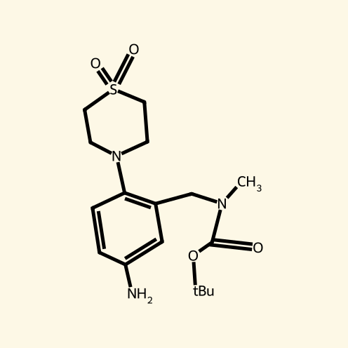 CN(Cc1cc(N)ccc1N1CCS(=O)(=O)CC1)C(=O)OC(C)(C)C